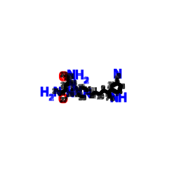 N#Cc1ccc2[nH]cc(CCCCN3CCN(c4nc(C(N)=O)cc(C(N)=O)n4)CC3)c2c1